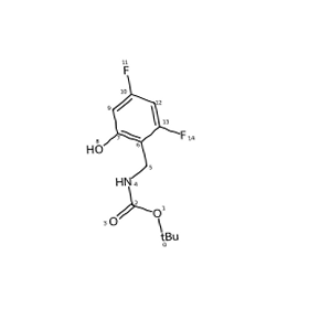 CC(C)(C)OC(=O)NCc1c(O)cc(F)cc1F